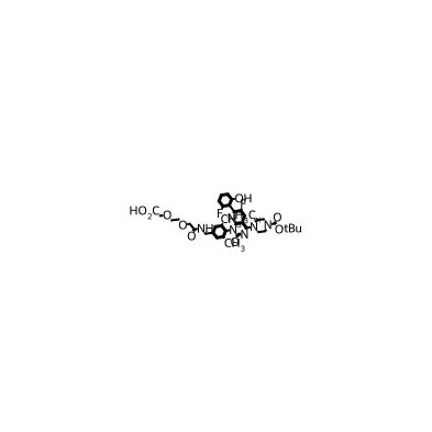 Cc1cc(CNC(=O)COCCOCC(=O)O)cc(C)c1-n1c(=O)nc(N2CCN(C(=O)OC(C)(C)C)C[C@@H]2C)c2cc(F)c(-c3c(O)cccc3F)nc21